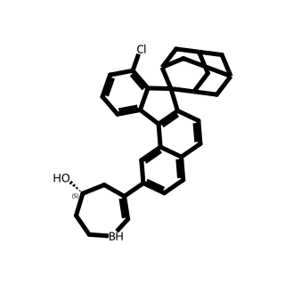 O[C@H]1CCBC=C(c2ccc3ccc4c(c3c2)-c2cccc(Cl)c2C42C3CC4CC(C3)CC2C4)C1